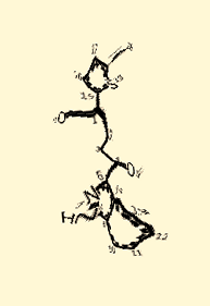 O=C(CCC(=O)c1n[nH]c2ccccc12)c1cccs1